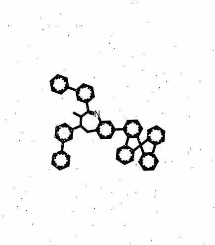 CC1C(c2cccc(-c3ccccc3)c2)=Nc2cc(-c3cccc4c3-c3ccccc3C43c4ccccc4-c4ccccc43)ccc2CC1c1cccc(-c2ccccc2)c1